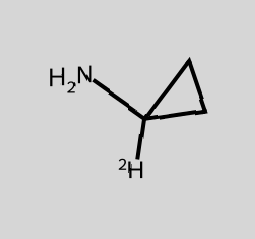 [2H]C1(N)CC1